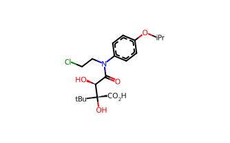 CC(C)Oc1ccc(N(CCCl)C(=O)[C@H](O)[C@@](O)(C(=O)O)C(C)(C)C)cc1